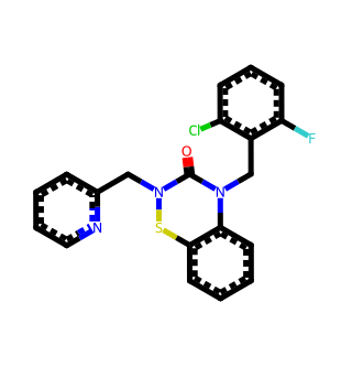 O=C1N(Cc2ccccn2)Sc2ccccc2N1Cc1c(F)cccc1Cl